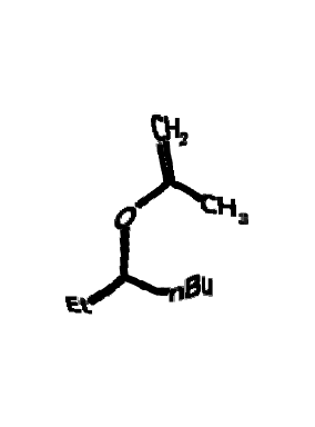 C=C(C)OC(CC)CCCC